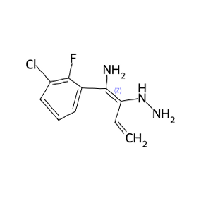 C=C/C(NN)=C(/N)c1cccc(Cl)c1F